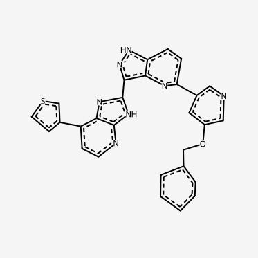 c1ccc(COc2cncc(-c3ccc4[nH]nc(-c5nc6c(-c7ccsc7)ccnc6[nH]5)c4n3)c2)cc1